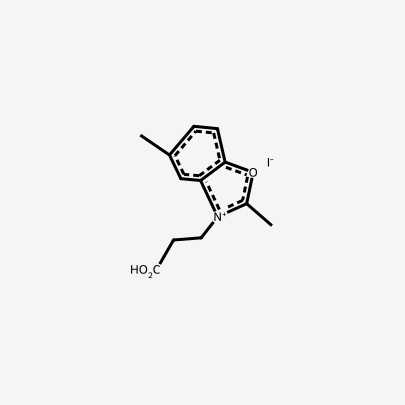 Cc1ccc2oc(C)[n+](CCC(=O)O)c2c1.[I-]